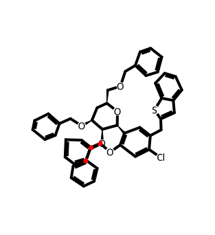 Clc1cc(OCc2ccccc2)c([C@@H]2O[C@H](COCc3ccccc3)C[C@H](OCc3ccccc3)[C@@H]2OCc2ccccc2)cc1Cc1cc2ccccc2s1